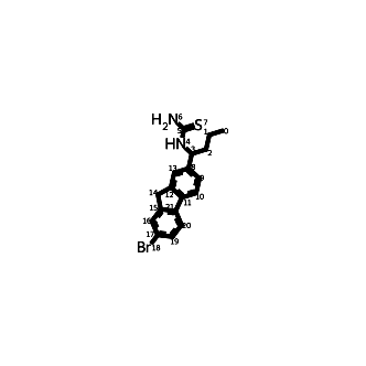 CCCC(NC(N)=S)c1ccc2c(c1)Cc1cc(Br)ccc1-2